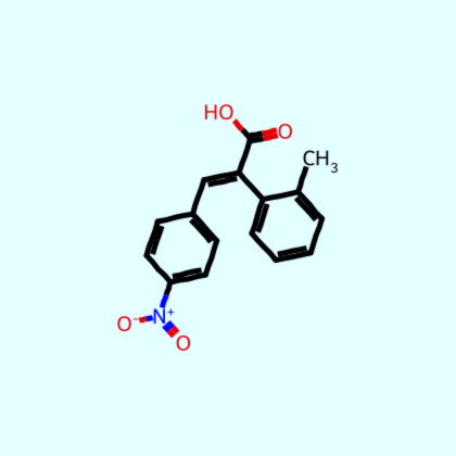 Cc1ccccc1/C(=C\c1ccc([N+](=O)[O-])cc1)C(=O)O